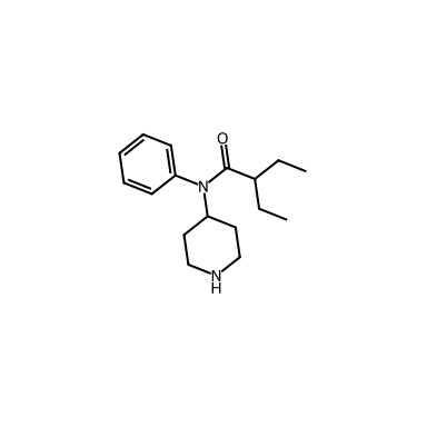 CCC(CC)C(=O)N(c1ccccc1)C1CCNCC1